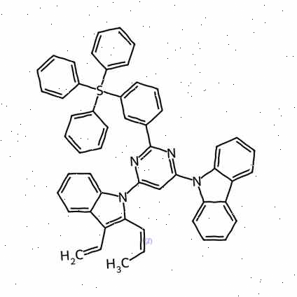 C=Cc1c(/C=C\C)n(-c2cc(-n3c4ccccc4c4ccccc43)nc(-c3cccc(S(c4ccccc4)(c4ccccc4)c4ccccc4)c3)n2)c2ccccc12